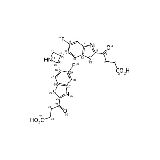 O=C(O)CCC(=O)c1nc2cc(F)c([C@H]3CN[C@H]3c3cc4sc(C(=O)CCC(=O)O)nc4cc3F)cc2s1